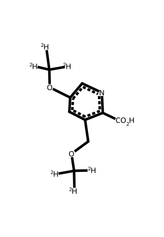 [2H]C([2H])([2H])OCc1cc(OC([2H])([2H])[2H])cnc1C(=O)O